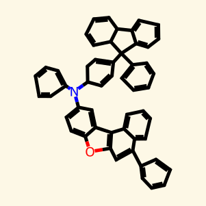 C1=CC2c3ccccc3C(C3=CCC(N(c4ccccc4)c4ccc5oc6cc(-c7ccccc7)c7ccccc7c6c5c4)C=C3)(c3ccccc3)C2C=C1